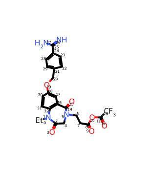 CCN1C(=O)CN(CCC(=O)OC(=O)C(F)(F)F)C(=O)c2cc(OCc3ccc(C(=N)N)cc3)ccc21